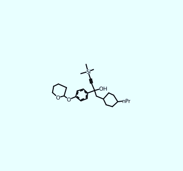 CCCC1CCC(CC(O)(C#C[Si](C)(C)C)c2ccc(OC3CCCCO3)cc2)CC1